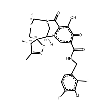 CC1=NO[C@@]2(CC[C@H](C)N3C[C@H]2n2cc(C(=O)NCc4ccc(F)c(Cl)c4F)c(=O)c(O)c2C3=O)[C@H]1C